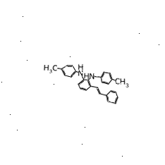 Cc1ccc(Nc2cccc(C=Cc3ccccc3)c2Nc2ccc(C)cc2)cc1